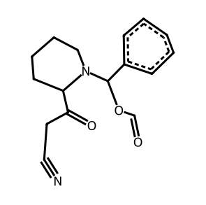 N#CCC(=O)C1CCCCN1C(OC=O)c1ccccc1